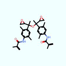 C=C(C)C(=O)Nc1cc(C)c(C(C)(OC(C)(c2cc(C)c(NC(=O)C(=C)C)cc2C)C2CO2)C2CO2)cc1C